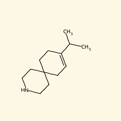 CC(C)C1=CCC2(CCNCC2)CC1